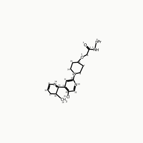 CCCNC(=O)COC1CCN(c2cc(C3=NC=CCC3C)c(Cl)cn2)CC1